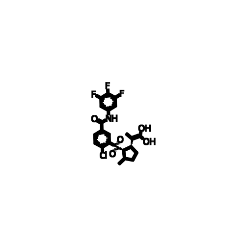 CC(=C(O)O)[C@@H]1CCC(C)[C@@H]1S(=O)(=O)c1cc(C(=O)Nc2cc(F)c(F)c(F)c2)ccc1Cl